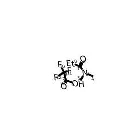 CCC(=O)N(C)C.O=C(O)C(F)(F)F